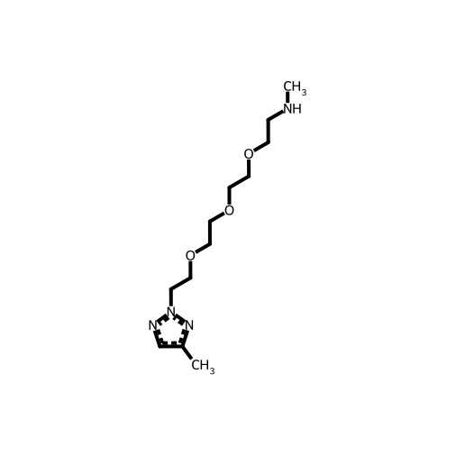 CNCCOCCOCCOCCn1ncc(C)n1